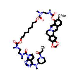 COc1ccc2cc3[n+](cc2c1OC(=O)N(C)CCN(C)C(=O)OCCCCCCCCOC(=O)N(C)CCN(C)C(=O)n1ccc2c(N(C)[C@@H]4CCCN(C(=O)CC#N)C4)ncnc21)CCc1cc2c(cc1-3)OCO2